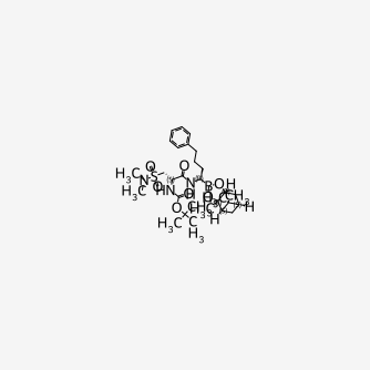 CN(C)S(=O)(=O)C[C@@H](NC(=O)OC(C)(C)C)C(=O)N[C@@H](CCCc1ccccc1)B1O[C@@H]2C[C@@H]3C[C@@H](C3(C)C)[C@]2(C)O1